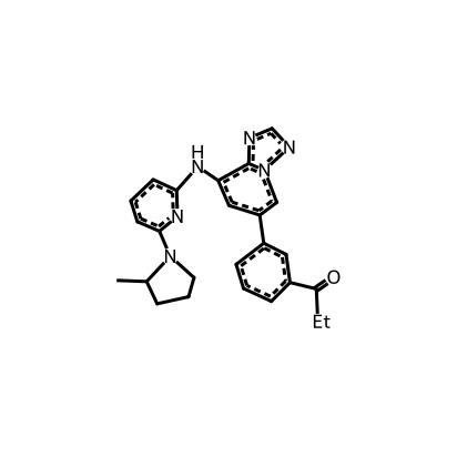 CCC(=O)c1cccc(-c2cc(Nc3cccc(N4CCCC4C)n3)c3ncnn3c2)c1